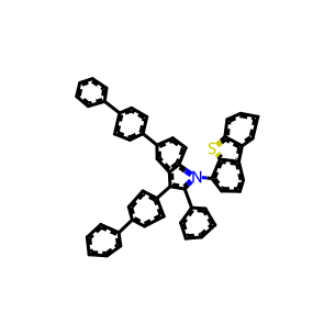 c1ccc(-c2ccc(-c3ccc4c(c3)c(-c3ccc(-c5ccccc5)cc3)c(-c3ccccc3)n4-c3cccc4c3sc3ccccc34)cc2)cc1